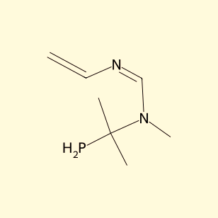 C=C/N=C\N(C)C(C)(C)P